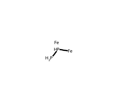 P[PH][Fe].[Fe]